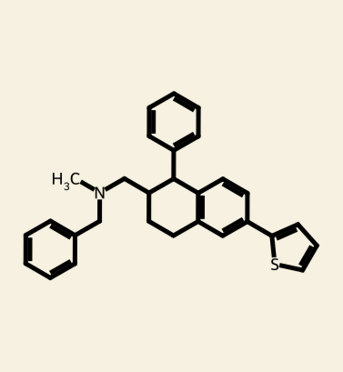 CN(Cc1ccccc1)CC1CCc2cc(-c3cccs3)ccc2C1c1ccccc1